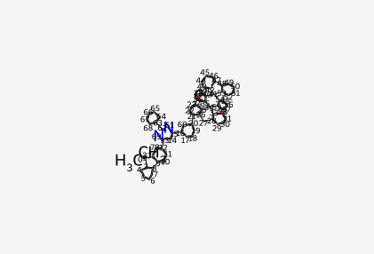 CC1(C)c2ccccc2-c2ccc(-c3cc(-c4cccc(-c5cccc6c5Cc5ccccc5C65c6ccccc6C6(c7ccccc7-c7ccccc76)c6ccccc65)c4)nc(-c4ccccc4)n3)cc21